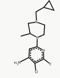 CC1CN(CC2CC2)CCN1c1cc(N)c(Cl)c(F)n1